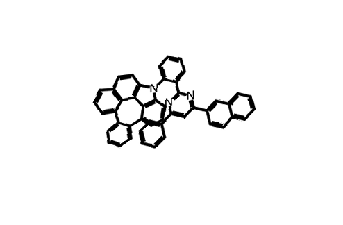 c1ccc(-c2cc(-c3ccc4ccccc4c3)nc(-c3ccccc3-n3c4cccc5c4c4c6c(cccc6ccc43)-c3ccccc3-5)n2)cc1